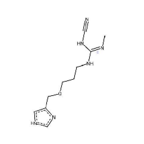 C/N=C(\NC#N)NCCCOCc1c[nH]cn1